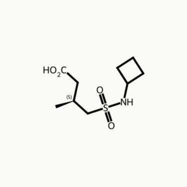 C[C@@H](CC(=O)O)CS(=O)(=O)NC1CCC1